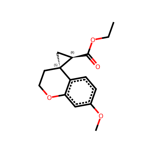 CCOC(=O)[C@@H]1C[C@]12CCOc1cc(OC)ccc12